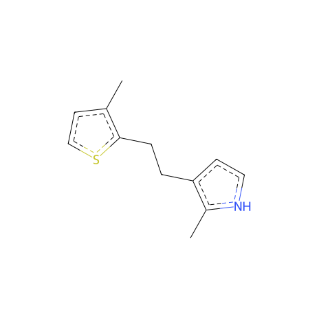 Cc1ccsc1CCc1cc[nH]c1C